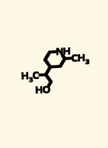 CC1CC(C(C)CO)CCN1